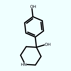 Oc1ccc(C2(O)CCNCC2)cc1